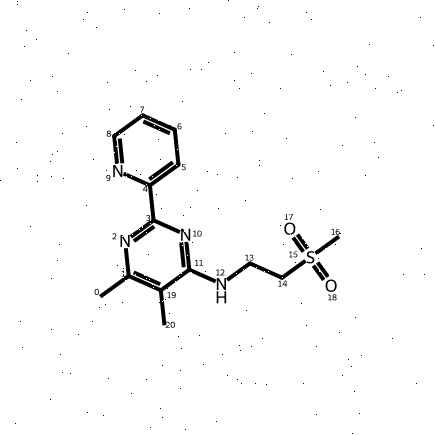 Cc1nc(-c2ccccn2)nc(NCCS(C)(=O)=O)c1C